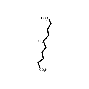 C.O=C(O)CCCCCCCCC(=O)O